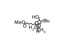 COC(=O)CCCCC1=CC2(O[SiH](C)C)CC(C(C)(C)C)C(CO)C2C1